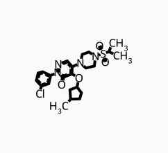 CC1CCC(Oc2c(N3CCN(S(=O)(=O)C(C)C)CC3)cnn(-c3cccc(Cl)c3)c2=O)C1